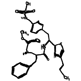 CCCc1csc(C(Cc2ccc(NS(=O)(=O)O)cc2)NC(=O)C(Cc2ccccc2)NC(=O)OC)n1